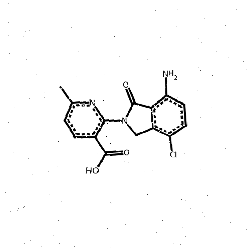 Cc1ccc(C(=O)O)c(N2Cc3c(Cl)ccc(N)c3C2=O)n1